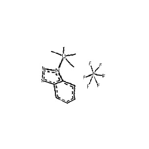 F[P-](F)(F)(F)(F)F.[CH3][U]([CH3])([CH3])([CH3])[n]1nnc2ccccc21